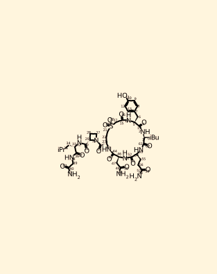 CC[C@H](C)[C@@H]1NC(=O)[C@H](Cc2ccc(O)cc2)NC(=O)CS(=O)(=O)CC[C@@H](C(=O)N2CC[C@H]2C(=O)N[C@@H](CC(C)C)C(=O)NCC(N)=O)NC(=O)[C@H](CC(N)=O)NC(=O)[C@H](CCC(N)=O)NC1=O